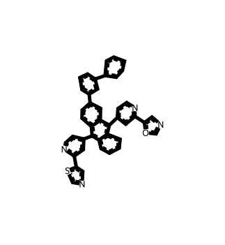 c1ccc(-c2cccc(-c3ccc4c(-c5ccnc(-c6cncs6)c5)c5ccccc5c(-c5ccnc(-c6cnco6)c5)c4c3)c2)cc1